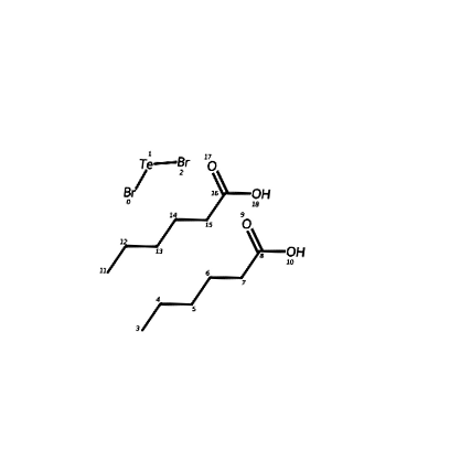 Br[Te]Br.CCCCCC(=O)O.CCCCCC(=O)O